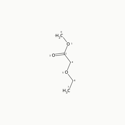 [CH2]OC(=O)COCC